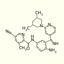 Cc1cc(C#N)cnc1C(=O)Nc1ccc(N)c(C(=N)c2ccnc(N3CC(C)CC(C)C3)c2)c1